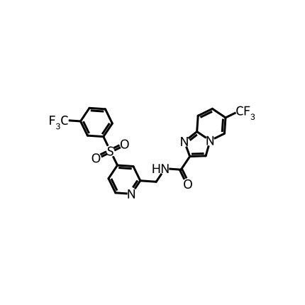 O=C(NCc1cc(S(=O)(=O)c2cccc(C(F)(F)F)c2)ccn1)c1cn2cc(C(F)(F)F)ccc2n1